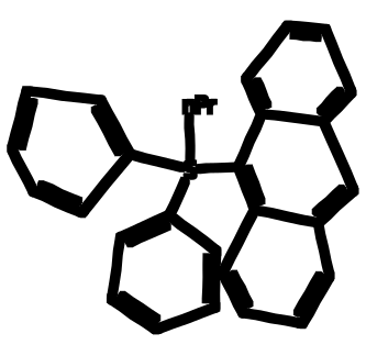 CCCS(c1ccccc1)(c1ccccc1)c1c2ccccc2cc2ccccc12